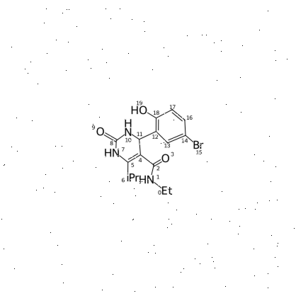 CCNC(=O)C1=C(C(C)C)NC(=O)NC1c1cc(Br)ccc1O